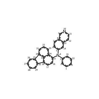 c1ccc(N(c2ccc3cnccc3c2)c2ccc3c4c(cccc24)-c2ccccc2-3)cc1